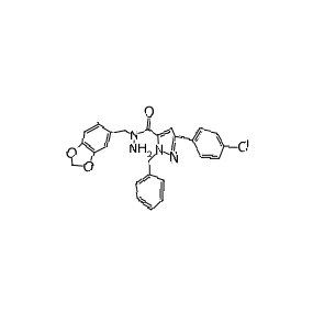 NN(Cc1ccc2c(c1)OCO2)C(=O)c1cc(-c2ccc(Cl)cc2)nn1Cc1ccccc1